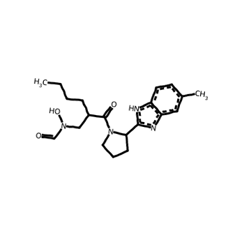 CCCCC(CN(O)C=O)C(=O)N1CCCC1c1nc2cc(C)ccc2[nH]1